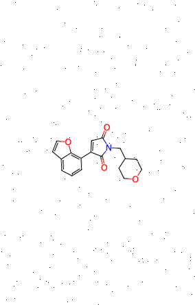 O=C1C=C(c2cccc3ccoc23)C(=O)N1CC1CCOCC1